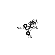 CSc1ccccc1CN(c1ccc(C#N)cc1)c1nc(C(=O)NS(C)(=O)=O)c(C)s1